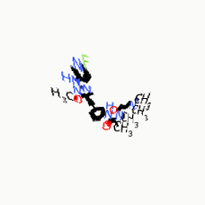 COc1nc(Nc2ccc(F)nc2)ncc1C#C[C@@H]1CCC[C@H](NC(=O)[C@H](C)N(C)C(=O)/C=C/CN(C)C)C1